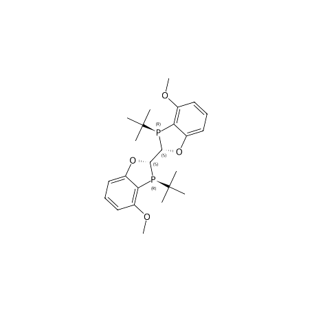 COc1cccc2c1[P@](C(C)(C)C)[C@@H]([C@H]1Oc3cccc(OC)c3[P@]1C(C)(C)C)O2